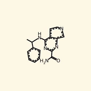 CC(Nc1nc(C(N)=O)nc2cn[c]cc12)c1ccccc1